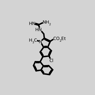 CCOC(=O)c1c(CNC(=N)N)n(C)c2cc(-c3cccc4ccccc34)c(Cl)cc12